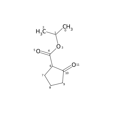 CC(C)OC(=O)C1CCCC1=O